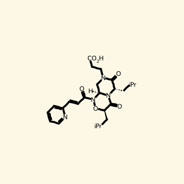 CC(C)C[C@H]1ON(C(=O)/C=C/c2ccccn2)[C@H]2CN(CCC(=O)O)C(=O)[C@H](CC(C)C)N2C1=O